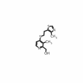 Cc1ncsc1CCSc1ccnc(CO)c1C